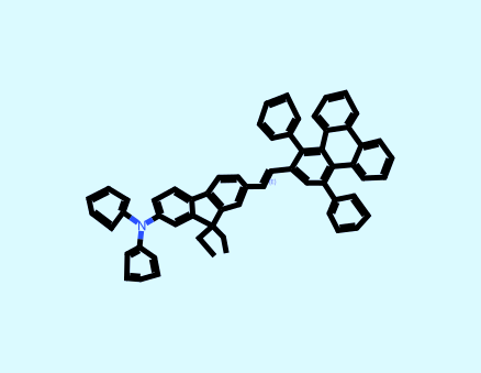 CCC1(CC)c2cc(/C=C/c3cc(-c4ccccc4)c4c5ccccc5c5ccccc5c4c3-c3ccccc3)ccc2-c2ccc(N(c3ccccc3)c3ccccc3)cc21